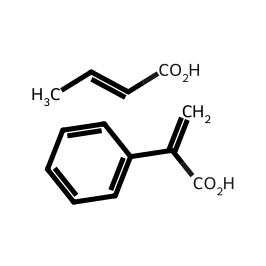 C/C=C/C(=O)O.C=C(C(=O)O)c1ccccc1